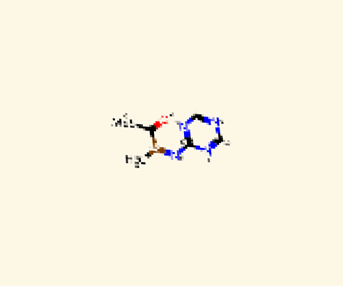 CSC(=O)S(C)=Nc1ncncn1